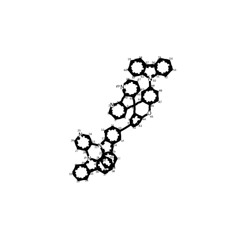 c1cnc2c(c1)C1(c3cc(-c4ccc5c(c4)c4ccccc4n5-c4cnccc4-n4c5ccccc5c5ccccc54)ccc3Oc3ccc(-n4c5ccccc5c5ccccc54)cc31)c1cccnc1-2